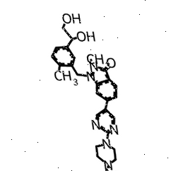 CC(=O)N1CCN(c2ncc(-c3ccc4c(=O)n(C)n(Cc5cc(C(O)CO)ccc5C)c4c3)cn2)CC1